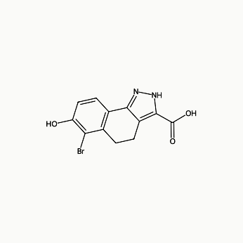 O=C(O)c1[nH]nc2c1CCc1c-2ccc(O)c1Br